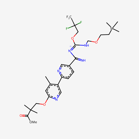 COC(=O)C(C)(C)COc1cc(C)c(-c2ccc(C(=N)/N=C(\NCOCC[Si](C)(C)C)OCC(F)(F)C(F)(F)F)cn2)cn1